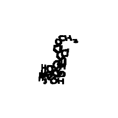 CCOc1ccc(Cc2cc([C@]34OC[C@](C(C)O)(O3)[C@@H](O)[C@H](O)[C@H]4O)ccc2Cl)cc1